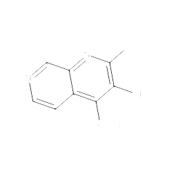 Cc1nc2cnccc2c(C(=O)O)c1C